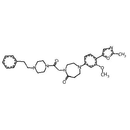 COc1cc(N2CCC(=O)N(CC(=O)N3CCN(CCc4ccccc4)CC3)CC2)ccc1-c1cnc(C)o1